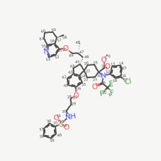 COC(=O)C1(N(C(=O)C(F)(F)F)c2cccc(Cl)c2)CCC2(CC1)c1cc(OCCCNS(=O)(=O)c3ccccc3)ccc1C[C@@H]2C[C@@H](C)COc1ccnc2c1[C@H](C)CCC2